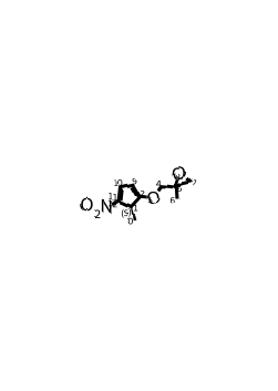 C[C@@H]1C(OCC2(C)CO2)=CC=C1[N+](=O)[O-]